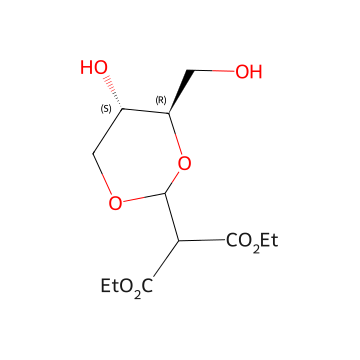 CCOC(=O)C(C(=O)OCC)C1OC[C@H](O)[C@@H](CO)O1